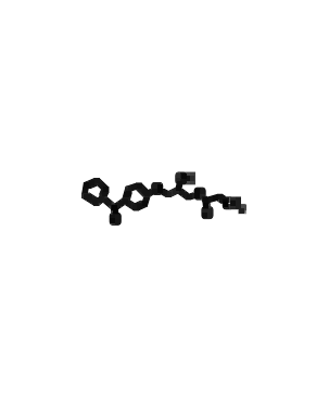 C=CC(=O)OCC(O)COc1ccc(C(=O)c2ccccc2)cc1